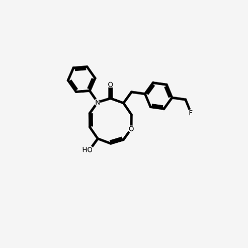 O=C1C(Cc2ccc(CF)cc2)CO/C=C\C(O)/C=C\N1c1ccccc1